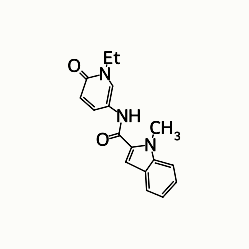 CCn1cc(NC(=O)c2cc3ccccc3n2C)ccc1=O